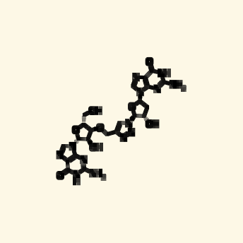 Nc1nc2c(ncn2[C@@H]2O[C@H](CO)[C@@H](OCc3cn([C@H]4O[C@@H](n5cnc6c(=O)[nH]c(N)nc65)C[C@@H]4O)nn3)[C@H]2O)c(=O)[nH]1